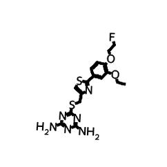 CCOc1cc(-c2nc(CSc3nc(N)nc(N)n3)cs2)ccc1OCCF